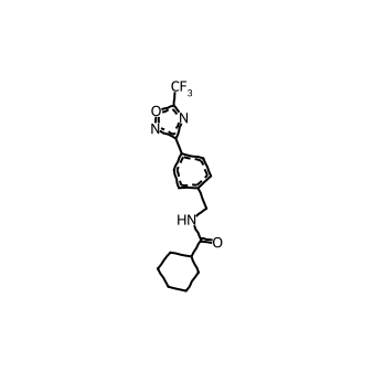 O=C(NCc1ccc(-c2noc(C(F)(F)F)n2)cc1)C1CCCCC1